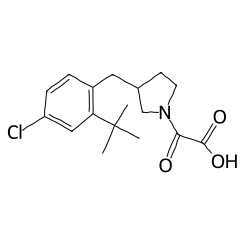 CC(C)(C)c1cc(Cl)ccc1CC1CCN(C(=O)C(=O)O)C1